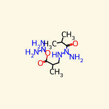 CC(C)C(=O)N(N)NCC(C)C(=O)ON(N)N